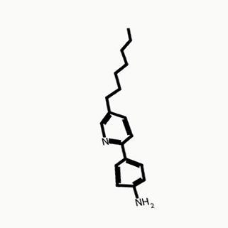 CCCCCCCc1ccc(-c2ccc(N)cc2)nc1